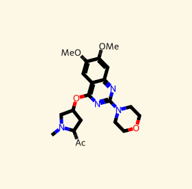 COc1cc2nc(N3CCOCC3)nc(OC3CC(C(C)=O)N(C)C3)c2cc1OC